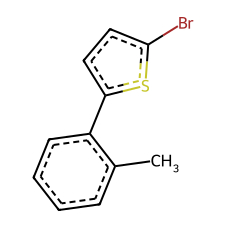 Cc1ccccc1-c1ccc(Br)s1